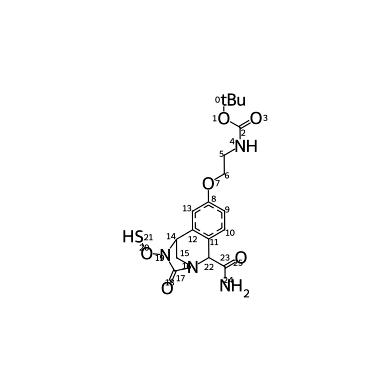 CC(C)(C)OC(=O)NCCOc1ccc2c(c1)C1CN(C(=O)N1OS)C2C(N)=O